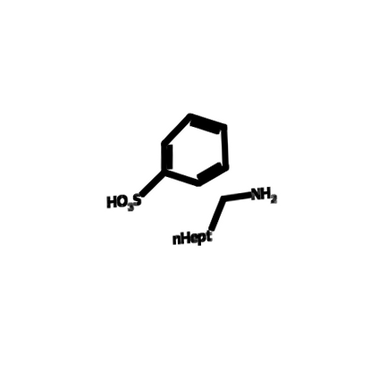 CCCCCCCCN.O=S(=O)(O)c1ccccc1